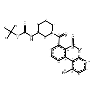 CC(C)(C)OC(=O)NC1CCCN(C(=O)c2cccc(-c3cnccc3Br)c2[N+](=O)[O-])C1